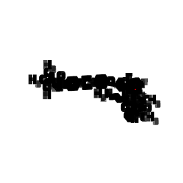 CCC([C@H](C)O)n1ncn(-c2ccc(N3CCN(c4ccc(OC[C@@H]5CO[C@@](Cn6c[n+](C(C)OC(=O)N(C)c7ncccc7COC(=O)[C@@H](N)CCCN)cn6)(c6ccc(F)cc6F)C5)cc4)CC3)cc2)c1=O